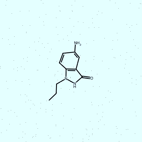 CCCn1[nH]c(=O)c2cc(N)ccc21